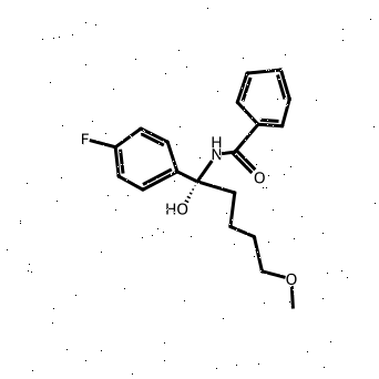 COCCCC[C@](O)(NC(=O)c1ccccc1)c1ccc(F)cc1